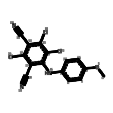 COc1ccc(Nc2c(Cl)c(Cl)c(C#N)c(Cl)c2C#N)cc1